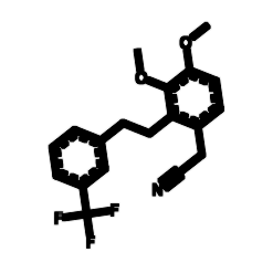 COc1ccc(CC#N)c(CCc2cccc(C(F)(F)F)c2)c1OC